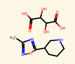 Cc1noc(C2CCCNC2)n1.O=C(O)C(O)C(O)C(=O)O